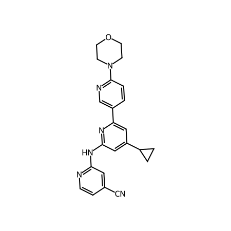 N#Cc1ccnc(Nc2cc(C3CC3)cc(-c3ccc(N4CCOCC4)nc3)n2)c1